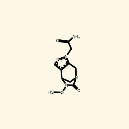 NC(=O)Cn1ncc2c1CN1CC2N(OS)C1=O